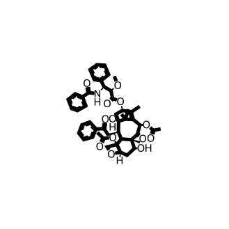 CO[C@H](C(=O)O[C@H]1C[C@@]2(O)[C@H](CC(=O)c3ccccc3)C3[C@@]4(OC(C)=O)CO[C@@H]4C[C@H](O)[C@@]3(C)C(=O)[C@H](OC(C)=O)C(=C1C)C2(C)C)[C@H](NC(=O)c1ccccc1)c1ccccc1